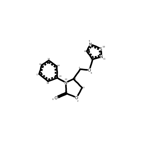 O=C1OCC(COc2cnsn2)N1c1ccccc1